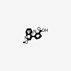 COc1cc(-c2cccc(C(=O)O)c2N)c2ccccc2n1